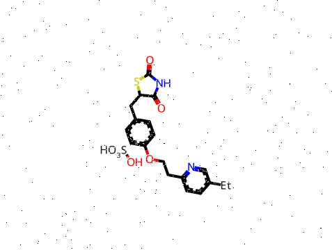 CCc1ccc(CCOc2ccc(CC3SC(=O)NC3=O)cc2)nc1.O=S(=O)(O)O